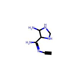 C#C/N=C(/N)C1NCNC1N